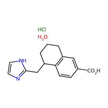 Cl.O.O=C(O)c1ccc2c(c1)CCCC2Cc1ncc[nH]1